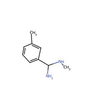 CNC(N)c1cccc(C)c1